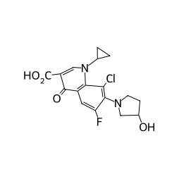 O=C(O)c1cn(C2CC2)c2c(Cl)c(N3CCC(O)C3)c(F)cc2c1=O